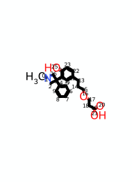 CN1CC(c2ccccc2)(c2cc(CCCOCCC(=O)O)ccc2O)C1